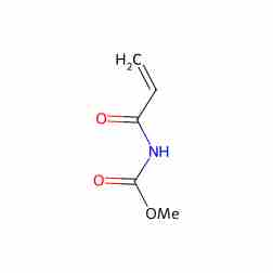 C=CC(=O)NC(=O)OC